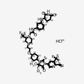 CC1(C)C(=O)N(c2cnc(C#N)c(C(F)(F)F)c2)C(=S)N1C1CCC(OCCN2CCN(CC(=O)Nc3cccc(NC4CCC(=O)NC4=O)c3)C(C(F)(F)F)C2)CC1.Cl